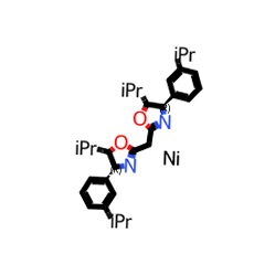 CC(C)c1cccc([C@H]2N=C(CC3=N[C@H](c4cccc(C(C)C)c4)C(C(C)C)O3)OC2C(C)C)c1.[Ni]